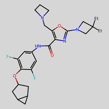 CCC1(CC)CN(c2nc(C(=O)Nc3cc(F)c(OC4CC5CC5C4)c(F)c3)c(CN3CCC3)o2)C1